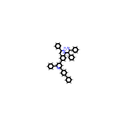 NC(/C(=C1\NC(c2ccccc2)=Cc2cc(-c3cc(-c4ccccc4)nc(-c4ccc(-c5ccccc5)cc4)c3)ccc21)c1ccccc1)c1ccccc1